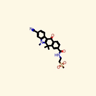 Cn1c2c(c3ccc(C#N)cc31)C(=O)c1ccc(C(=O)NCCS(C)(=O)=O)cc1C2(C)C